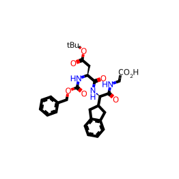 CC(C)(C)OC(=O)C[C@H](NC(=O)OCc1ccccc1)C(=O)N[C@H](C(=O)NCC(=O)O)C1Cc2ccccc2C1